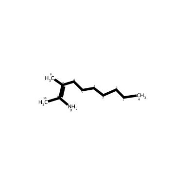 CCCCCCCC(C)=C(C)N